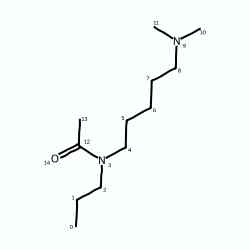 CCCN(CCCCCN(C)C)C(C)=O